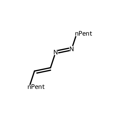 CCCCCC=CN=NCCCCC